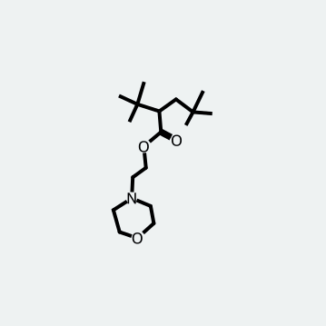 CC(C)(C)CC(C(=O)OCCN1CCOCC1)C(C)(C)C